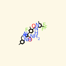 Cc1ccc2c(c1)CCn1nc(-c3ccc(C(=O)Nc4cc(C(F)(F)F)cc(C)n4)c(C)c3F)c(C(N)=O)c1N2